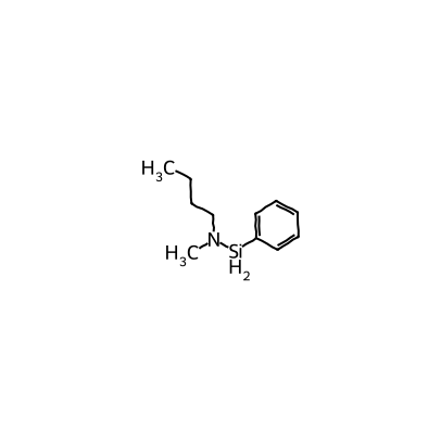 CCCCN(C)[SiH2]c1ccccc1